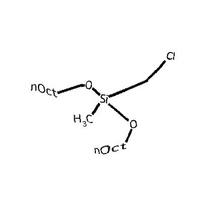 CCCCCCCCO[Si](C)(CCCl)OCCCCCCCC